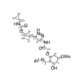 COc1cc(O)c(/C=N/C(C)C)c(OCC(=O)Nc2cc([C@H]3CC[C@@H](OC(=O)NC4(C)CC4)C3)[nH]n2)c1